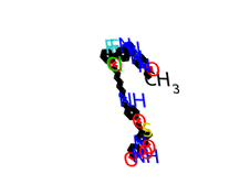 CCC(=O)N1CCN(c2ncnc3c(F)c(-c4c(F)cccc4OCCCCCCCNCc4ccc(OCc5scc6c5CN([C@H]5CCC(=O)NC5=O)C6=O)cc4)c(Cl)cc23)CC1